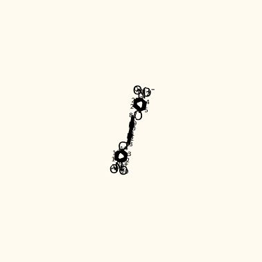 O=[N+]([O-])c1ccc(OCC#CC#CCOc2ccc([N+](=O)[O-])cc2)cc1